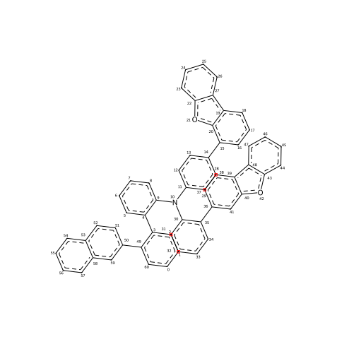 c1ccc(-c2ccccc2N(c2ccc(-c3cccc4c3oc3ccccc34)cc2)c2ccccc2-c2ccc3c(c2)oc2ccccc23)c(-c2ccc3ccccc3c2)c1